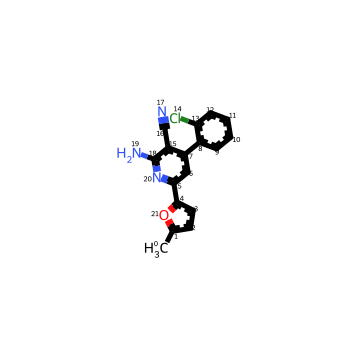 Cc1ccc(-c2cc(-c3ccccc3Cl)c(C#N)c(N)n2)o1